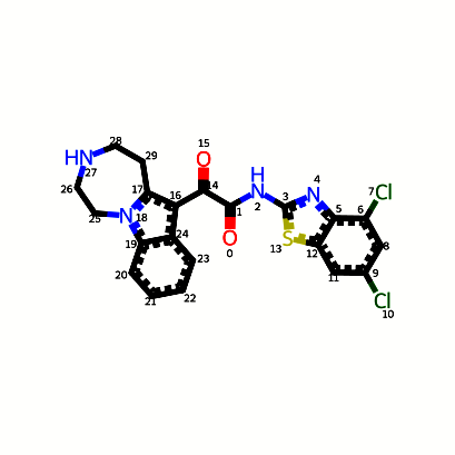 O=C(Nc1nc2c(Cl)cc(Cl)cc2s1)C(=O)c1c2n(c3ccccc13)CCNCC2